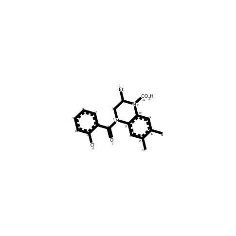 CCC1CN(C(=O)c2ccccc2Cl)c2cc(C)c(C)cc2N1C(=O)O